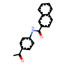 CC(=O)c1ccc(NC(=O)c2ccc3ccccc3c2)cc1